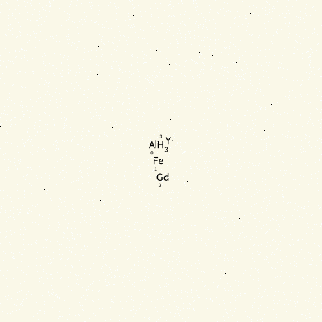 [AlH3].[Fe].[Gd].[Y]